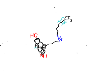 CN(CCCCC[C@@H]1Cc2cc(O)ccc2[C@@H]2[C@@H]1[C@@H]1CC[C@H](O)[C@@]1(C)C[C@@H]2F)CCCCCC(F)(F)C(F)(F)C(F)(F)F